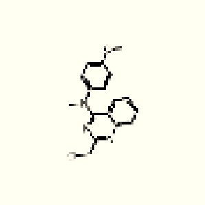 COc1ccc(N(C)c2nc(CCl)nc3ccccc23)cc1